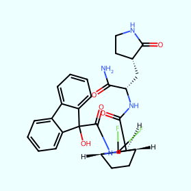 NC(=O)[C@H](C[C@@H]1CCNC1=O)NC(=O)[C@H]1[C@@H]2CC[C@@H](CC2(F)F)N1C(=O)C1(O)c2ccccc2-c2ccccc21